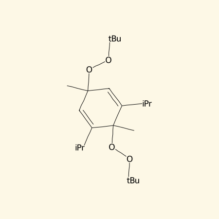 CC(C)C1=CC(C)(OOC(C)(C)C)C=C(C(C)C)C1(C)OOC(C)(C)C